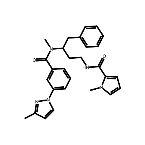 Cc1ccn(-c2cccc(C(=O)N(C)C(CCNC(=O)c3cccn3C)Cc3ccccc3)c2)n1